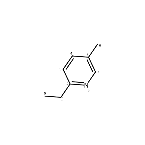 C[CH]c1ccc(C)cn1